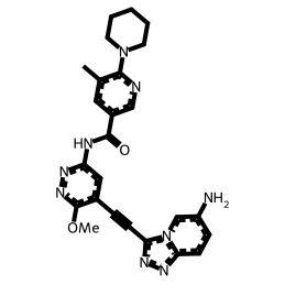 COc1nnc(NC(=O)c2cnc(N3CCCCC3)c(C)c2)cc1C#Cc1nnc2ccc(N)cn12